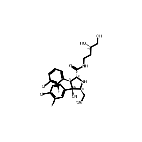 CC(C)(C)C[C@@H]1N[C@@H](C(=O)NCC[C@H](O)CO)[C@H](c2cccc(Cl)c2F)[C@@]1(C#N)c1ccc(Cl)c(F)c1